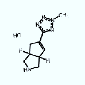 Cl.Cn1nnc(C2=C[C@@H]3CNC[C@@H]3C2)n1